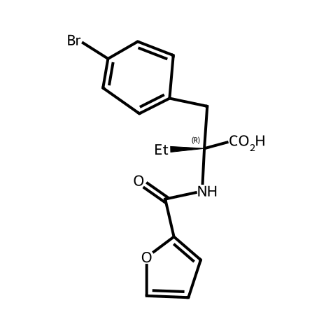 CC[C@](Cc1ccc(Br)cc1)(NC(=O)c1ccco1)C(=O)O